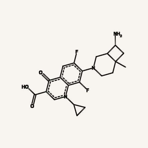 CC12CCN(c3c(F)cc4c(=O)c(C(=O)O)cn(C5CC5)c4c3F)CC1C(N)C2